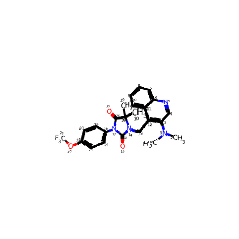 CN(C)c1cnc2ccccc2c1CN1C(=O)N(c2ccc(OC(F)(F)F)cc2)C(=O)C1(C)C